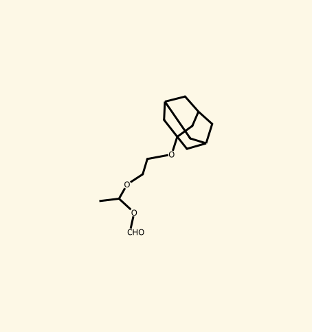 CC(OC=O)OCCOC12CC3CC(CC(C3)C1)C2